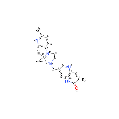 CCc1cc2ncc(CN3CCN(c4ccc(C#N)nc4)[C@@H]4CC43)cc2[nH]c1=O